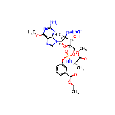 CCOC(=O)c1cccc(OP(=O)(N[C@@H](C)C(=O)OC)OC[C@H]2O[C@@H](n3cnc4c(OC)nc(N)nc43)[C@](C)(N=[N+]=[N-])[C@@H]2O)c1